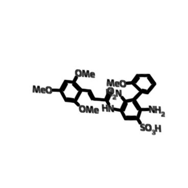 COc1cc(OC)c(C=CC(=O)Nc2cc(S(=O)(=O)O)c(N)c(-c3ccccc3OC)c2N)c(OC)c1